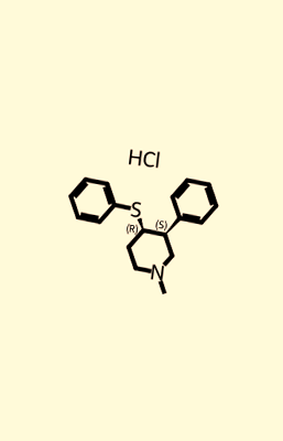 CN1CC[C@@H](Sc2ccccc2)[C@@H](c2ccccc2)C1.Cl